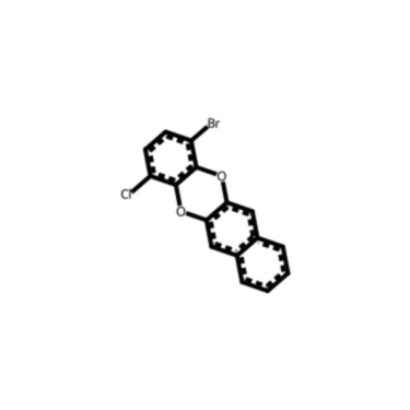 Clc1ccc(Br)c2c1Oc1cc3ccccc3cc1O2